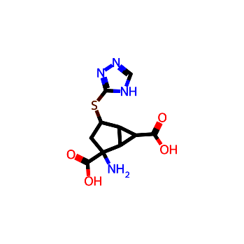 NC1(C(=O)O)CC(Sc2nnc[nH]2)C2C(C(=O)O)C21